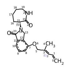 C=C/C=C(\C)COc1cccc2c1CN([C@H]1CCCCNC1=O)C2=O